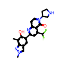 Cc1c(O)c(-c2cc(C(F)F)c3c(=O)n(C4CCNC4)ccc3n2)cc2cn(C)nc12